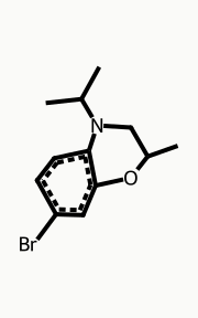 CC1CN(C(C)C)c2ccc(Br)cc2O1